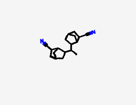 CC(C1CC2CC(C#N)C1C2)C1CC2CC(C#N)C1C2